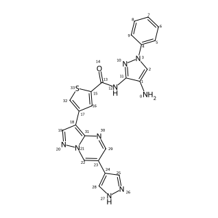 Nc1cn(-c2ccccc2)nc1NC(=O)c1cc(-c2cnn3cc(-c4cn[nH]c4)cnc23)cs1